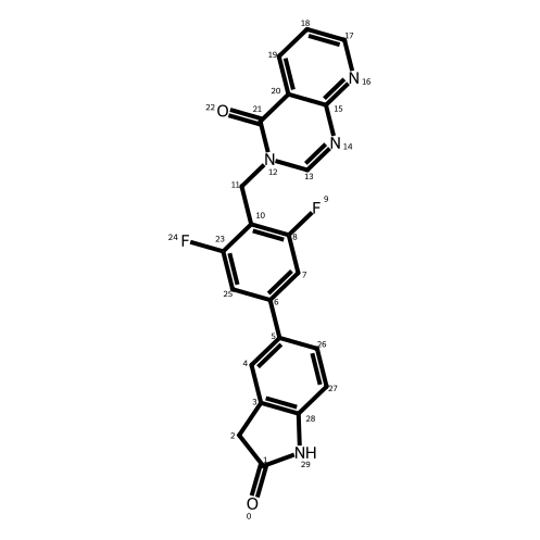 O=C1Cc2cc(-c3cc(F)c(Cn4cnc5ncccc5c4=O)c(F)c3)ccc2N1